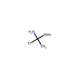 CCC(C)(N)NC